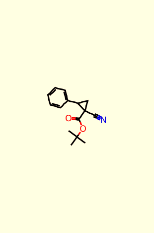 CC(C)(C)OC(=O)C1(C#N)CC1c1ccccc1